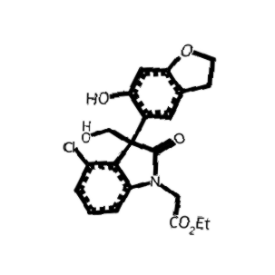 CCOC(=O)CN1C(=O)C(CO)(c2cc3c(cc2O)OCC3)c2c(Cl)cccc21